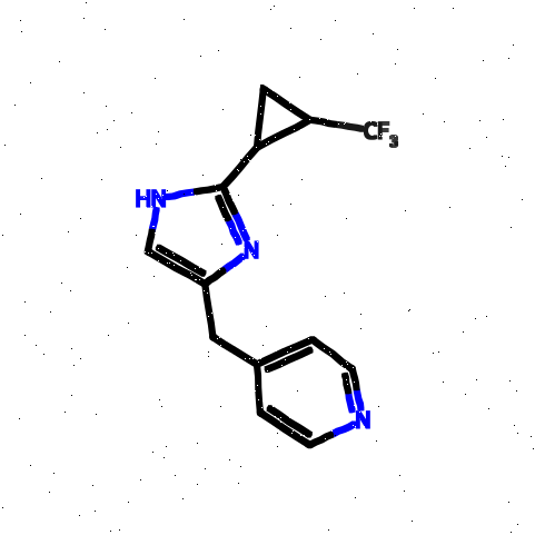 FC(F)(F)C1CC1c1nc(Cc2ccncc2)c[nH]1